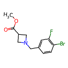 COC(=O)C1CN(Cc2ccc(Br)c(F)c2)C1